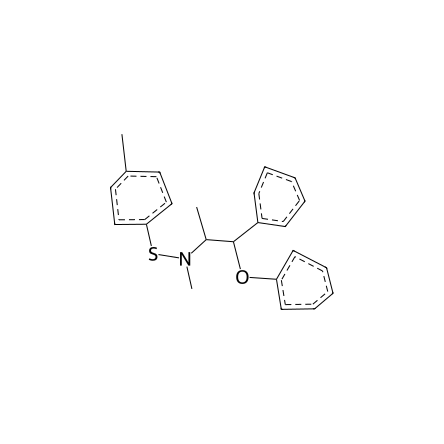 Cc1ccc(SN(C)C(C)C(Oc2ccccc2)c2ccccc2)cc1